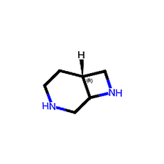 C1C[C@@H]2CN[C]2CN1